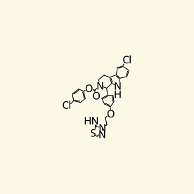 N=c1scnn1CCOc1ccc(C2c3[nH]c4ccc(Cl)cc4c3CCN2C(=O)Oc2ccc(Cl)cc2)cc1